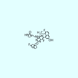 CCc1c(F)ccc2cc(O)cc(-c3ncc4c(NCCN5CCNC5=O)nc(OC[C@@]56CCCN5C[C@H](F)C6)nc4c3F)c12